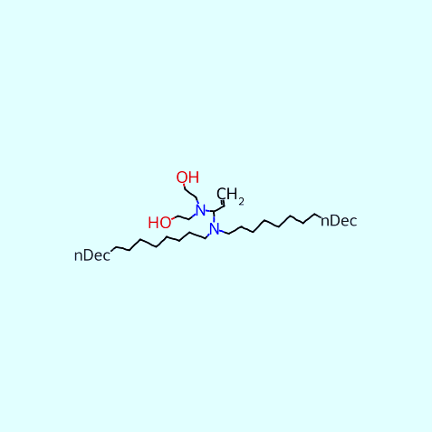 C=CC(N(CCO)CCO)N(CCCCCCCCCCCCCCCCCC)CCCCCCCCCCCCCCCCCC